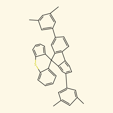 Cc1cc(C)cc(-c2ccc3c(c2)C2(c4ccccc4Sc4ccccc42)c2cc(-c4cc(C)cc(C)c4)ccc2-3)c1